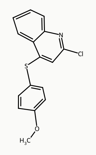 COc1ccc(Sc2cc(Cl)nc3ccccc23)cc1